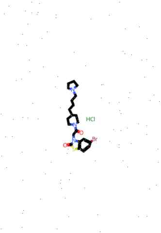 Cl.O=C(Cn1c(=O)sc2ccc(Br)cc21)N1CCC(CCCCN2CCCC2)CC1